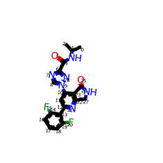 CC(C)NC(=O)c1ncn(-c2cc(-c3c(F)cccc3F)nc3c2C(=O)NC3)n1